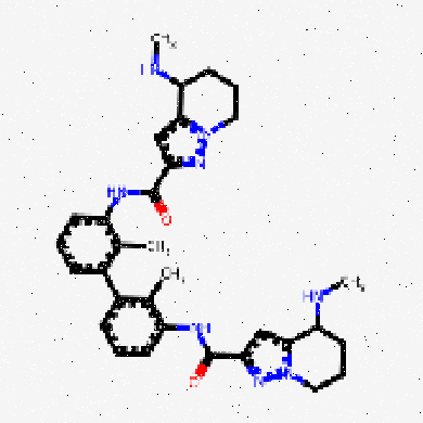 CNC1CCCn2nc(C(=O)Nc3cccc(-c4cccc(NC(=O)c5cc6n(n5)CCCC6NC)c4C)c3C)cc21